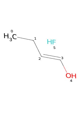 CCC=CO.F